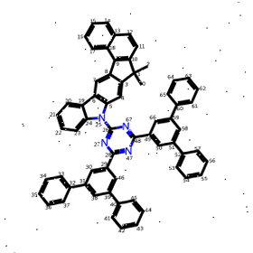 CC1(C)c2cc3c(cc2-c2c1ccc1ccccc21)c1ccccc1n3-c1nc(-c2cc(-c3ccccc3)cc(-c3ccccc3)c2)nc(-c2cc(-c3ccccc3)cc(-c3ccccc3)c2)n1